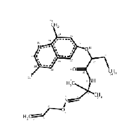 C=CCON=CC(C)(C)NC(=O)C(CC)Oc1cc(C)c2ncc(I)cc2c1